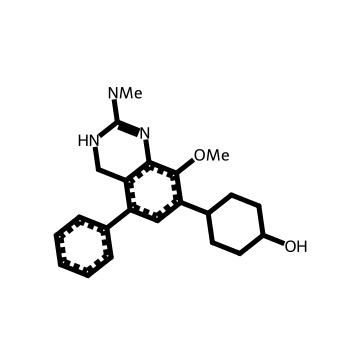 CNC1=Nc2c(c(-c3ccccc3)cc(C3CCC(O)CC3)c2OC)CN1